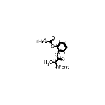 CCCCCCC(=O)Oc1ccccc1OC(=O)C(C)CCCCC